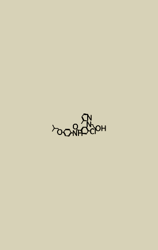 Cc1cccnc1N(CCO)c1cc(C(=O)Nc2ccc(OCC(C)C)cc2)ccc1Cl